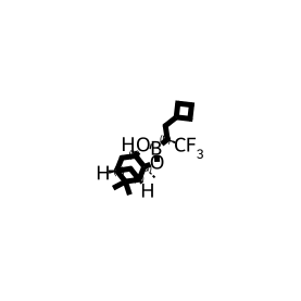 CC1(C)[C@@H]2C[C@H]3OB([C@H](CC4CCC4)C(F)(F)F)O[C@@]3(C)[C@H]1C2